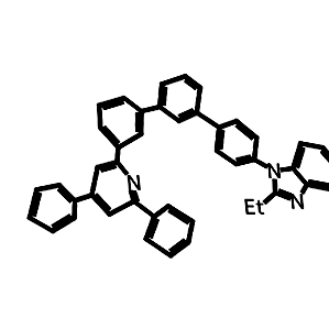 CCc1nc2ccccc2n1-c1ccc(-c2cccc(-c3cccc(-c4cc(-c5ccccc5)cc(-c5ccccc5)n4)c3)c2)cc1